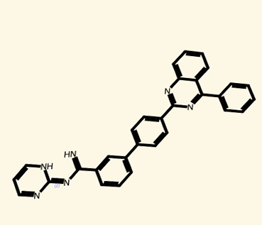 N=C(/N=c1/nccc[nH]1)c1cccc(-c2ccc(-c3nc(-c4ccccc4)c4ccccc4n3)cc2)c1